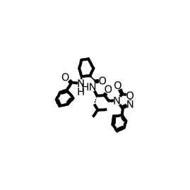 CC(C)C[C@H](NC(=O)[C@@H]1CCCC[C@@H]1NC(=O)c1ccccc1)C(=O)Cn1c(-c2ccccc2)noc1=O